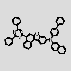 C1=Cc2cc(N(c3ccc(-c4ccccc4)cc3)c3ccc4c(c3)oc3cc(-c5nc(-c6ccccc6)nc(-c6ccccc6)n5)c5ccccc5c34)ccc2CC1